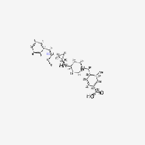 CC/C(=C\c1ccccc1)[C@@H]1C[C@H]1NC1CCN(Cc2ccc(C(=O)O)cc2C)CC1